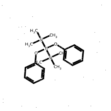 C[Si](C)(C)[Ti]([O]c1ccccc1)([O]c1ccccc1)[Si](C)(C)C